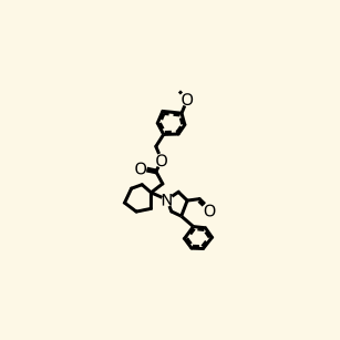 COc1ccc(COC(=O)CC2(N3CC(C=O)C(c4ccccc4)C3)CCCCC2)cc1